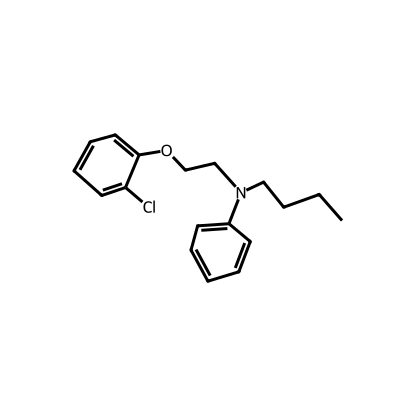 CCCCN(CCOc1ccccc1Cl)c1ccccc1